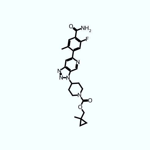 Cc1cc(C(N)=O)c(F)cc1-c1cc2nnn(C3CCN(C(=O)OCC4(C)CC4)CC3)c2cn1